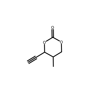 C#CC1OC(=O)OCC1C